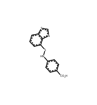 O=C(O)c1ccc(NSc2cccc3scnc23)cc1